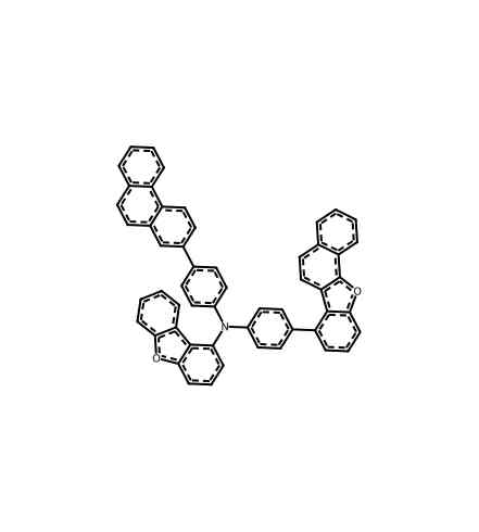 c1ccc2c(c1)ccc1cc(-c3ccc(N(c4ccc(-c5cccc6oc7c8ccccc8ccc7c56)cc4)c4cccc5oc6ccccc6c45)cc3)ccc12